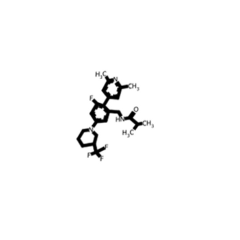 Cc1cc(-c2c(F)cc(N3CCCC(C(F)(F)F)C3)cc2CNC(=O)C(C)C)cc(C)n1